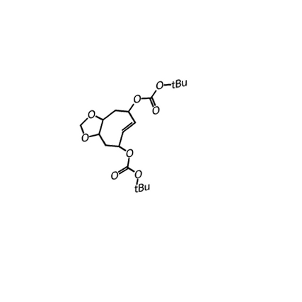 CC(C)(C)OC(=O)OC1/C=C/C(OC(=O)OC(C)(C)C)CC2OCOC2C1